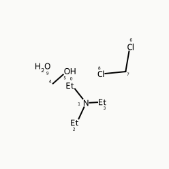 CCN(CC)CC.CO.ClCCl.O